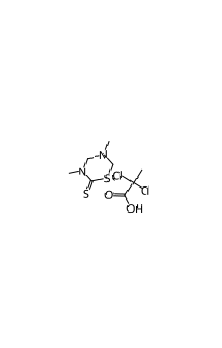 CC(Cl)(Cl)C(=O)O.CN1CSC(=S)N(C)C1